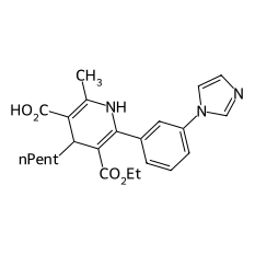 CCCCCC1C(C(=O)O)=C(C)NC(c2cccc(-n3ccnc3)c2)=C1C(=O)OCC